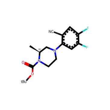 C[C@H]1CN(c2cc(F)c(F)cc2C#N)CCN1C(=O)OC(C)(C)C